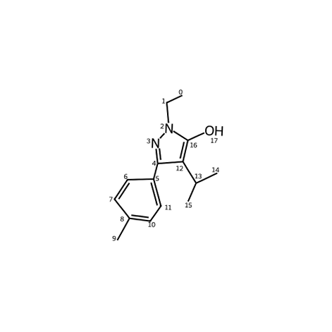 CCn1nc(-c2ccc(C)cc2)c(C(C)C)c1O